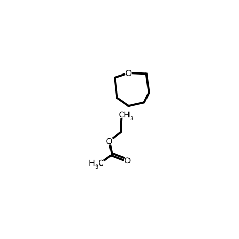 C1CCCOCC1.CCOC(C)=O